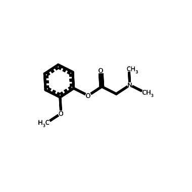 COc1ccccc1OC(=O)CN(C)C